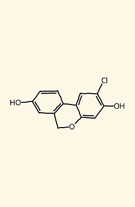 Oc1ccc2c(c1)COc1cc(O)c(Cl)cc1-2